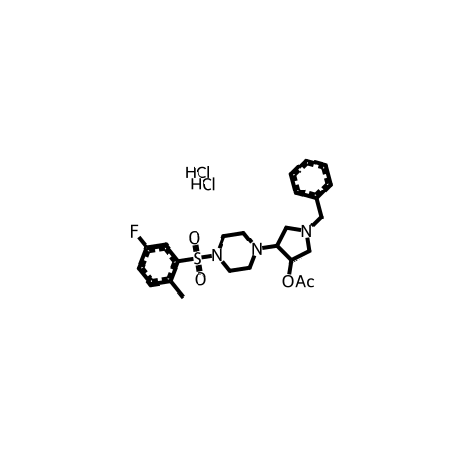 CC(=O)OC1CN(Cc2ccccc2)CC1N1CCN(S(=O)(=O)c2cc(F)ccc2C)CC1.Cl.Cl